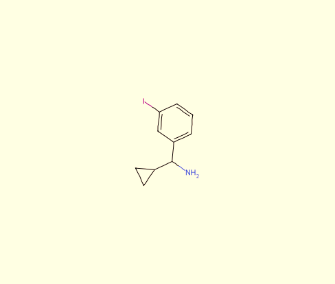 NC(c1cccc(I)c1)C1CC1